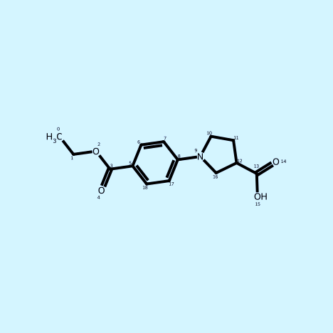 CCOC(=O)c1ccc(N2CCC(C(=O)O)C2)cc1